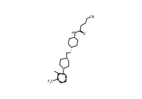 Cc1c(N2CCN(CC[C@H]3CC[C@H](NC(=O)CCCC#N)CC3)CC2)cccc1C(F)(F)F